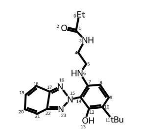 CCC(=O)NCCNc1ccc(C(C)(C)C)c(O)c1-n1nc2ccccc2n1